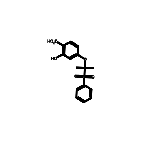 CC(C)(Oc1ccc(C(=O)O)c(O)c1)S(=O)(=O)c1ccccc1